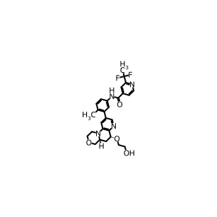 Cc1ccc(NC(=O)c2ccnc(C(C)(F)F)c2)cc1-c1cnc2c(c1)N1CCOC[C@H]1C[C@H]2OCCO